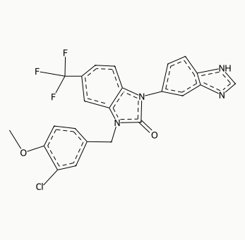 COc1ccc(Cn2c(=O)n(-c3ccc4[nH]cnc4c3)c3ccc(C(F)(F)F)cc32)cc1Cl